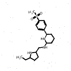 CCC1CCC(CNC2CCCC(c3ccc(S(C)(=O)=O)cc3)N2)N1